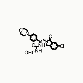 O=CNC(=O)N[C@@H](CN1Cc2ccc(Cl)cc2C1=O)c1ccc(N2CCOCC2)cc1